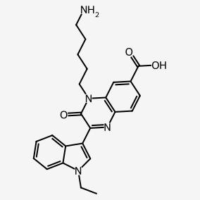 CCn1cc(-c2nc3ccc(C(=O)O)cc3n(CCCCCN)c2=O)c2ccccc21